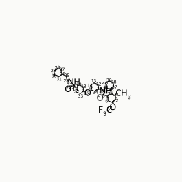 Cc1cc(OC(F)(F)F)cc(C(=O)Nc2cccc(OC3CCN(C(=O)NCCc4ccccc4)CC3)c2)c1-c1ccccc1